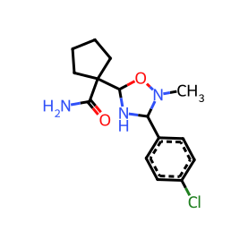 CN1OC(C2(C(N)=O)CCCC2)NC1c1ccc(Cl)cc1